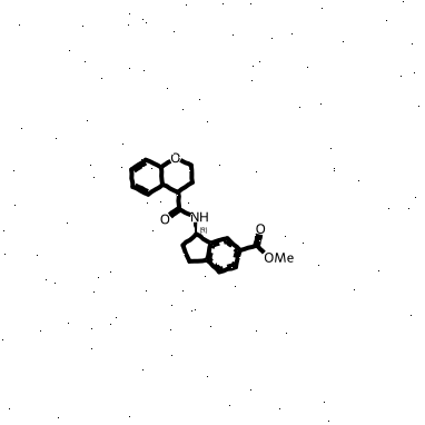 COC(=O)c1ccc2c(c1)[C@H](NC(=O)C1CCOC3C=CC=CC31)CC2